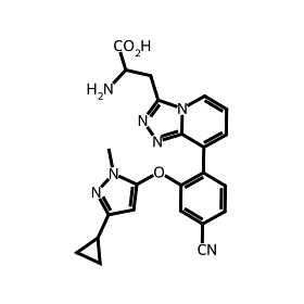 Cn1nc(C2CC2)cc1Oc1cc(C#N)ccc1-c1cccn2c(CC(N)C(=O)O)nnc12